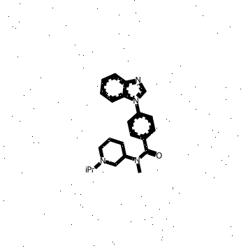 CC(C)N1CCCC(N(C)C(=O)c2ccc(-n3cnc4ccccc43)cc2)C1